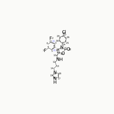 C/C(F)=C\C(=C/CF)[C@H]1[C@H](CNCCCN2C=CNC2)OC(=O)N1c1ccc(Cl)cc1